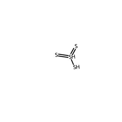 S=[SH](=S)S